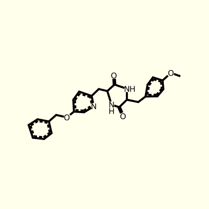 COc1ccc(CC2NC(=O)C(Cc3ccc(OCc4ccccc4)cn3)NC2=O)cc1